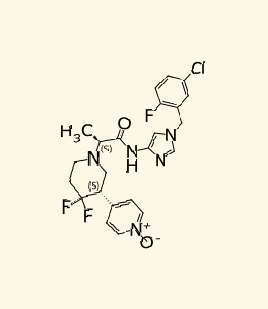 C[C@@H](C(=O)Nc1cn(Cc2cc(Cl)ccc2F)cn1)N1CCC(F)(F)[C@@H](c2cc[n+]([O-])cc2)C1